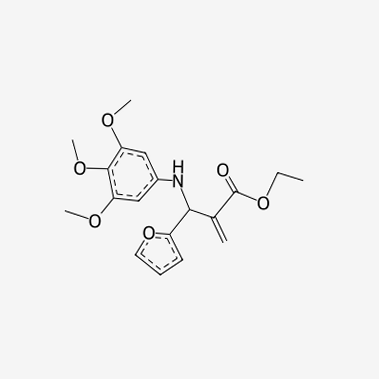 C=C(C(=O)OCC)C(Nc1cc(OC)c(OC)c(OC)c1)c1ccco1